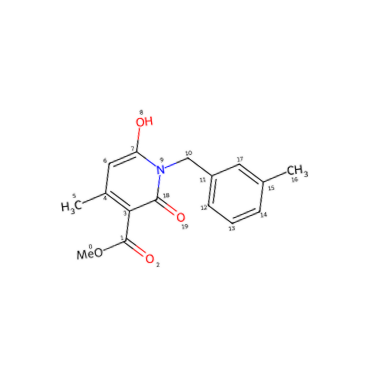 COC(=O)c1c(C)cc(O)n(Cc2cccc(C)c2)c1=O